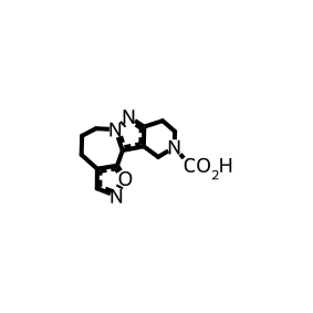 O=C(O)N1CCc2nn3c(c2C1)-c1oncc1CCC3